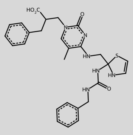 Cc1cn(CC(Cc2ccccc2)C(=O)O)c(=O)nc1NCC1(NC(=O)NCc2ccccc2)NC=CS1